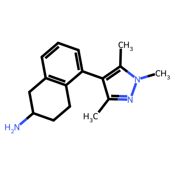 Cc1nn(C)c(C)c1-c1cccc2c1CCC(N)C2